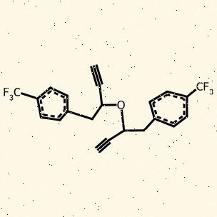 C#CC(Cc1ccc(C(F)(F)F)cc1)OC(C#C)Cc1ccc(C(F)(F)F)cc1